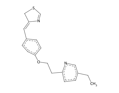 CCc1ccc(CCOc2ccc(C=C3CSC=N3)cc2)nc1